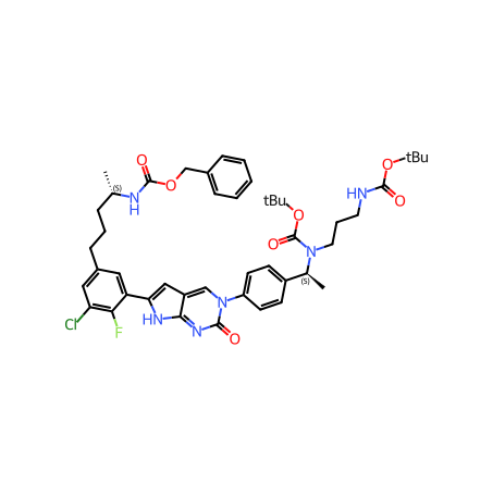 C[C@@H](CCCc1cc(Cl)c(F)c(-c2cc3cn(-c4ccc([C@H](C)N(CCCNC(=O)OC(C)(C)C)C(=O)OC(C)(C)C)cc4)c(=O)nc3[nH]2)c1)NC(=O)OCc1ccccc1